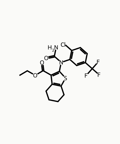 CCOC(=O)c1c(N(C(N)=O)c2cc(C(F)(F)F)ccc2Cl)sc2c1CCCC2